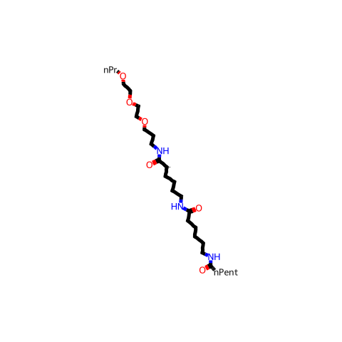 [CH2]CCCCC(=O)NCCCCCC(=O)NCCCC[CH]C(=O)NCCCOCCOCCOCC[CH2]